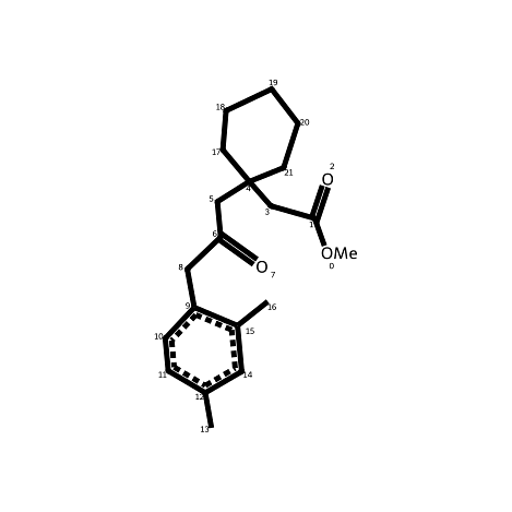 COC(=O)CC1(CC(=O)Cc2ccc(C)cc2C)CCCCC1